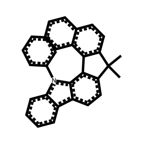 CC1(C)c2ccc3ccccc3c2-c2c1ccc1c3ccccc3n(-c3ccccc3)c21